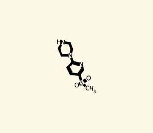 CS(=O)(=O)c1ccc(N2CCNCC2)nc1